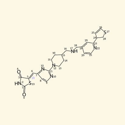 O=C1NC(=O)/C(=C/c2ccnc(N3CCC(CNCc4ccnc(C5C=CSC5)c4)CC3)n2)S1